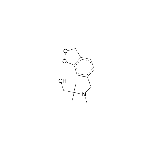 CN(Cc1ccc2c(c1)OOC2)C(C)(C)CO